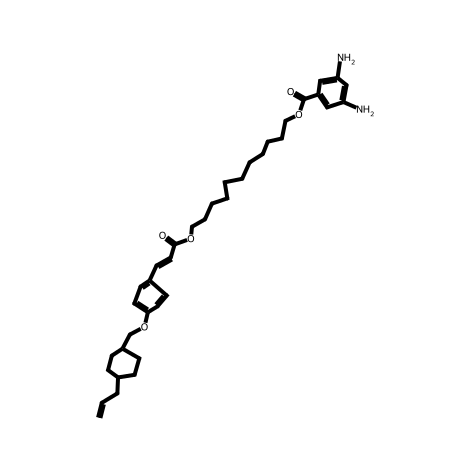 C=CCC1CCC(COc2ccc(C=CC(=O)OCCCCCCCCCCCOC(=O)c3cc(N)cc(N)c3)cc2)CC1